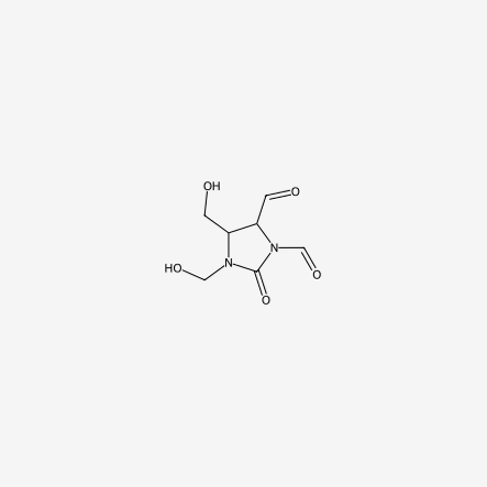 O=CC1C(CO)N(CO)C(=O)N1C=O